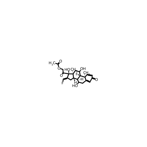 CC(=O)OCC(=O)[C@@]1(O)C(=CF)C[C@H]2[C@@H]3C(O)CC4=CC(=O)C=C[C@]4(C)[C@@]3(F)C(O)C[C@@]21C